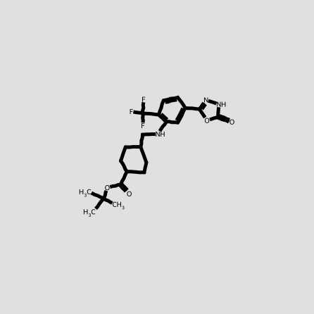 CC(C)(C)OC(=O)C1CCC(CNc2cc(-c3n[nH]c(=O)o3)ccc2C(F)(F)F)CC1